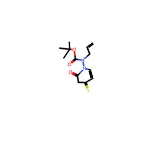 C=CCN(C(=O)OC(C)(C)C)N1C=CC(=S)CC1=O